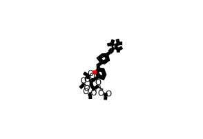 COC1(c2cccc(Cc3ccc(C#C[Si](C(C)C)(C(C)C)C(C)C)cc3)c2)O[C@H](COC(C)=O)[C@@H](OC(C)=O)[C@H](OC(C)=O)[C@H]1OC(C)=O